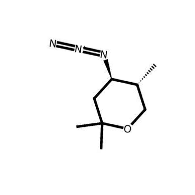 C[C@@H]1COC(C)(C)C[C@H]1N=[N+]=[N-]